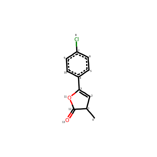 CC1C=C(c2ccc(Cl)cc2)OC1=O